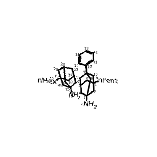 CCCCCC12CC3CC(N)(C1)CC(c1ccccc1)(C3)C2.CCCCCCC12CC3CC(CC(N)(C3)C1)C2